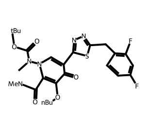 CCCCOc1c(C(=O)NC)n(N(C)C(=O)OC(C)(C)C)cc(-c2nnc(Cc3ccc(F)cc3F)s2)c1=O